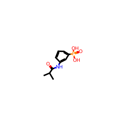 CC(C)C(=O)Nc1cccc(P(=O)(O)O)c1